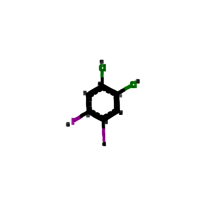 Clc1cc(I)c(I)cc1Cl